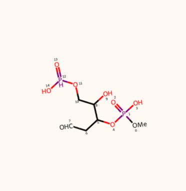 COP(=O)(O)OC(CC=O)C(O)CO[PH](=O)O